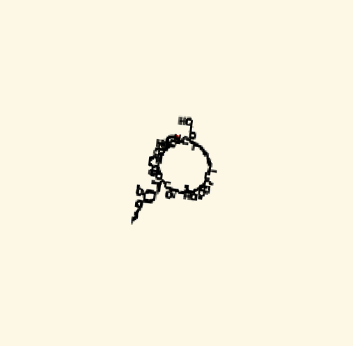 CO[C@@H]1C[C@H](C[C@@H](C)[C@@H]2CC(=O)[C@H](C)/C=C(\C)[C@@H](O)[C@@H](OC)C(=O)[C@H](C)C[C@H](C)/C=C/C=C/C=C(\C)C(OCCO)C[C@@H]3CC[C@@H](C)[C@@](O)(O3)C(=O)C(=O)N3CCCC[C@H]3C(=O)O2)CC[C@H]1OCCCI